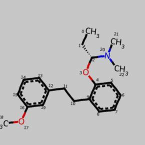 C[CH][C@@H](Oc1ccccc1CCc1cccc(OC)c1)N(C)C